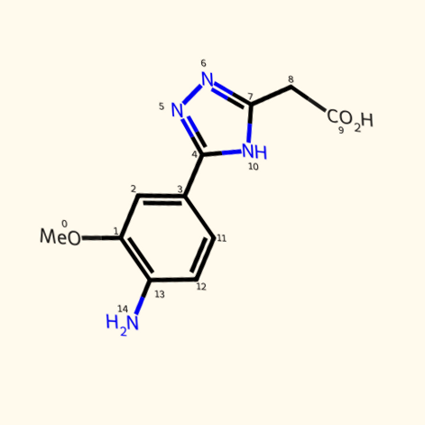 COc1cc(-c2nnc(CC(=O)O)[nH]2)ccc1N